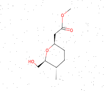 COC(=O)C[C@H]1CC[C@H](C)[C@@H](CO)O1